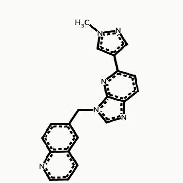 Cn1cc(-c2ccc3ncn(Cc4ccc5ncccc5c4)c3n2)cn1